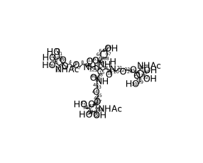 CC(=O)NC1C(OCCOCCNC(=O)CCC(CCC(=O)NCCOCCOC2OC(CO)C(O)C(O)C2NC(C)=O)(CCC(=O)NCCOCCOC2OC(CO)C(O)C(O)C2NC(C)=O)NC(=O)C2CCC(O)CC2)OC(CO)C(O)C1O